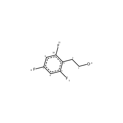 [O]CCc1c(F)cc(F)cc1F